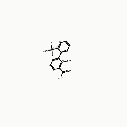 O=C(O)c1cccc(-c2ccccc2C(F)(F)F)c1F